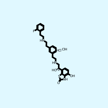 Cl.Cl.O=c1[nH]c2c(O)ccc([C@@H](O)CNCCc3cccc(CCNCCc4ccccc4F)c3)c2s1